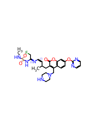 CNS(=O)(=O)N/C(CF)=N/C=C\C(C)Cc1c(CN2CCNCC2)c2ccc(Oc3ncccn3)cc2oc1=O